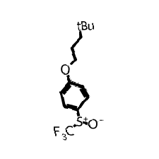 CC(C)(C)CCCOc1ccc([S+]([O-])C(F)(F)F)cc1